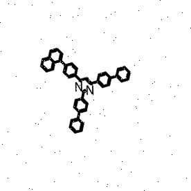 c1ccc(-c2ccc(-c3cc(-c4ccc(-c5cccc6ccccc56)cc4)nc(-c4ccc(-c5ccccc5)cc4)n3)cc2)cc1